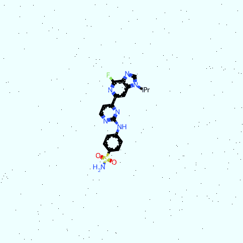 CC(C)n1cnc2c(F)nc(-c3ccnc(Nc4ccc(S(N)(=O)=O)cc4)n3)cc21